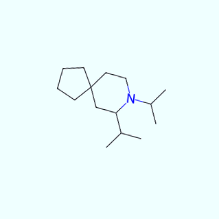 CC(C)C1CC2(CCCC2)CCN1C(C)C